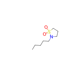 CCCCCN1CCCS1(=O)=O